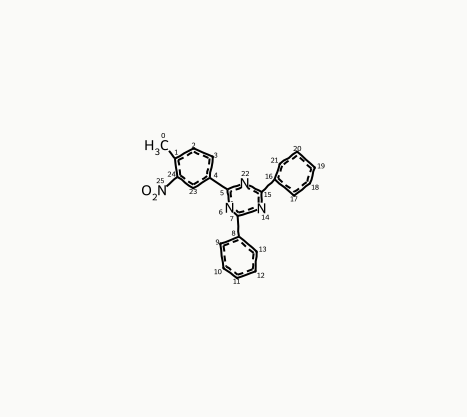 Cc1ccc(-c2nc(-c3ccccc3)nc(-c3ccccc3)n2)cc1[N+](=O)[O-]